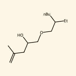 C=C(C)CC(O)COCC(CC)CCCC